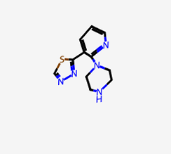 c1cnc(N2CCNCC2)c(-c2nncs2)c1